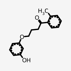 Cc1ccccc1C(=O)CCCOc1cccc(O)c1